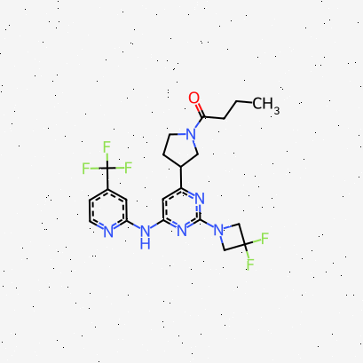 CCCC(=O)N1CCC(c2cc(Nc3cc(C(F)(F)F)ccn3)nc(N3CC(F)(F)C3)n2)C1